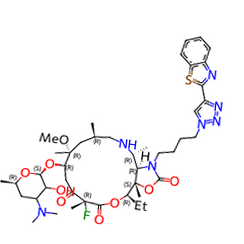 CC[C@H]1OC(=O)[C@](C)(F)C(=O)C[C@@H](O[C@@H]2O[C@H](C)CC(N(C)C)C2O)[C@](C)(OC)C[C@@H](C)CN[C@H](C)[C@H]2N(CCCCn3cc(-c4nc5ccccc5s4)nn3)C(=O)O[C@]12C